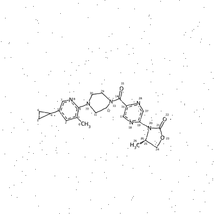 Cc1cc(C2CC2)cnc1N1CCN(C(=O)c2cnc(N3C(=O)OC[C@H]3C)cn2)CC1